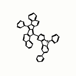 c1ccc(C2=C3C(=C(c4ccc5c(c4)c4cc(-c6ccccc6)ccc4n5-c4ccccc4)c4c3ccc3ccccc43)c3ccc4ccccc4c32)cc1